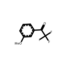 COc1cccc(C(=O)C(F)(F)I)c1